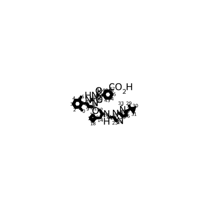 Cc1cccc(C)c1-c1cc(OCC(CC23CC(C2)C3)NCc2cnc3cc(C4(C)CC4)n(C)c3n2)nc(NS(=O)(=O)c2cccc(C(=O)O)c2)n1